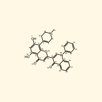 CN1CC=C(c2c(O)cc(O)c3c(=O)cc(-c4cn(-c5ccccc5)c5ccccc5c4=O)oc23)CC1